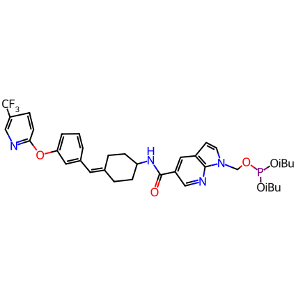 CC(C)COP(OCC(C)C)OCn1ccc2cc(C(=O)NC3CCC(=Cc4cccc(Oc5ccc(C(F)(F)F)cn5)c4)CC3)cnc21